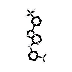 CN(C)c1cccc(Nc2nccn3c(-c4cccc(S(C)(=O)=O)c4)cnc23)c1